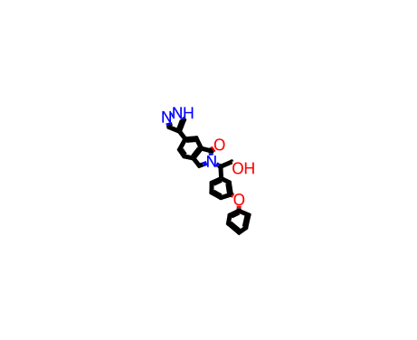 O=C1c2cc(-c3cn[nH]c3)ccc2CN1C(CO)c1cccc(Oc2ccccc2)c1